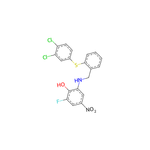 O=[N+]([O-])c1cc(F)c(O)c(NCc2ccccc2Sc2ccc(Cl)c(Cl)c2)c1